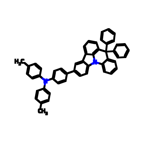 Cc1ccc(N(c2ccc(C)cc2)c2ccc(-c3ccc4c(c3)c3cccc5c3n4-c3ccccc3C5(c3ccccc3)c3ccccc3)cc2)cc1